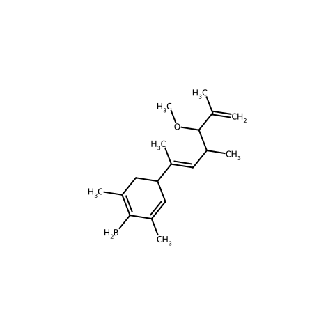 BC1=C(C)CC(/C(C)=C/C(C)C(OC)C(=C)C)C=C1C